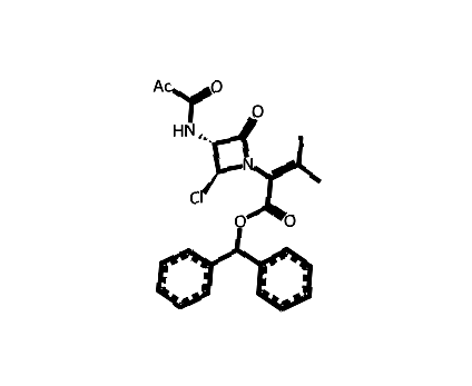 CC(=O)C(=O)N[C@@H]1C(=O)N(C(C(=O)OC(c2ccccc2)c2ccccc2)=C(C)C)[C@H]1Cl